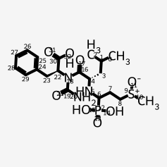 CC(C)C[C@H](NC(CC[S+](C)[O-])P(=O)(O)O)C(=O)N(C(N)=O)[C@@H](Cc1ccccc1)C(=O)O